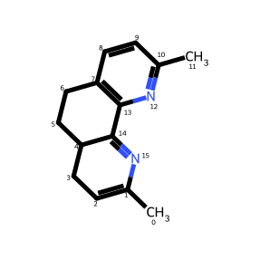 CC1=CCC2CCc3ccc(C)nc3C2=N1